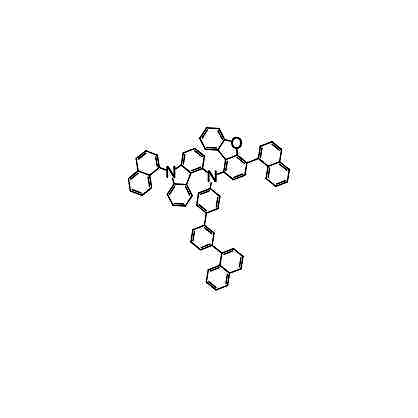 c1cc(-c2ccc(N(c3ccc(-c4cccc5ccccc45)c4oc5ccccc5c34)c3cccc4c3c3ccccc3n4-c3cccc4ccccc34)cc2)cc(-c2cccc3ccccc23)c1